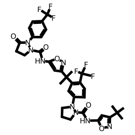 CC(C)(C)c1cc(NC(=O)N2CCCN2c2ccc(C(F)(F)F)c(C(C)(C)c3cc(NC(=O)N4CCC(=O)N4c4ccc(C(F)(F)F)cc4)on3)c2)on1